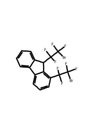 FC(F)(Br)C(F)(F)c1cccc2c1C(C(F)(F)C(F)(F)Br)c1ccccc1-2